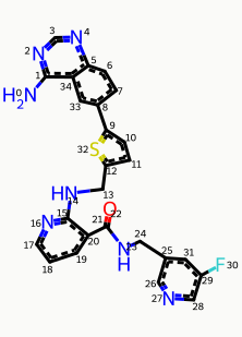 Nc1ncnc2ccc(-c3ccc(CNc4ncccc4C(=O)NCc4cncc(F)c4)s3)cc12